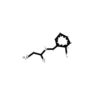 NCC(Cl)SCc1ccccc1F